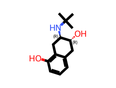 CC(C)(C)N[C@@H]1Cc2c(O)cccc2C[C@H]1O